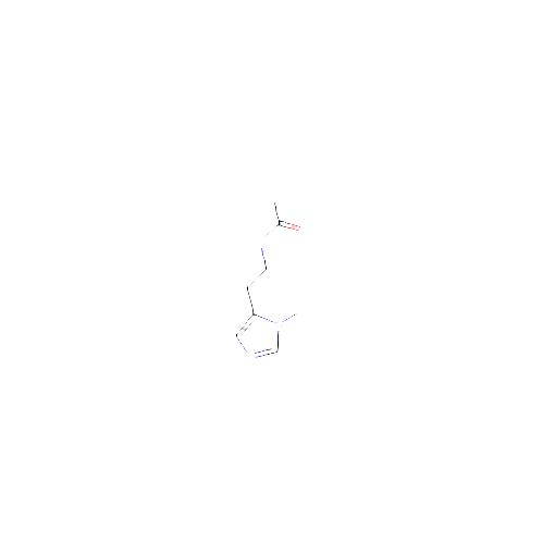 CC(=O)NCCc1cncn1C